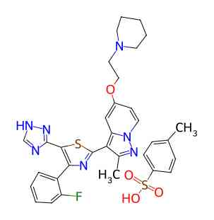 Cc1ccc(S(=O)(=O)O)cc1.Cc1nn2ccc(OCCN3CCCCC3)cc2c1-c1nc(-c2ccccc2F)c(-c2nc[nH]n2)s1